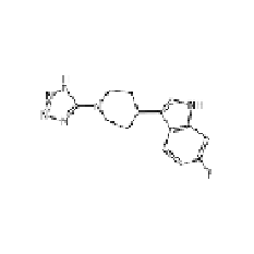 Fc1ccc2c(C3CCN(c4nnn[nH]4)CC3)c[nH]c2c1